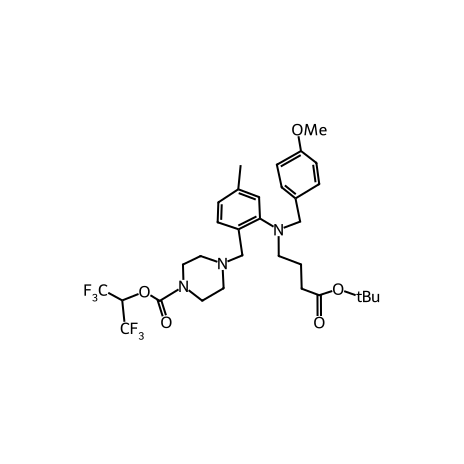 COc1ccc(CN(CCCC(=O)OC(C)(C)C)c2cc(C)ccc2CN2CCN(C(=O)OC(C(F)(F)F)C(F)(F)F)CC2)cc1